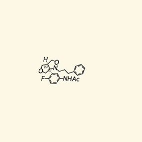 CC(=O)Nc1ccc(F)c([C@]23COC[C@H]2CON3CCCc2ccccc2)c1